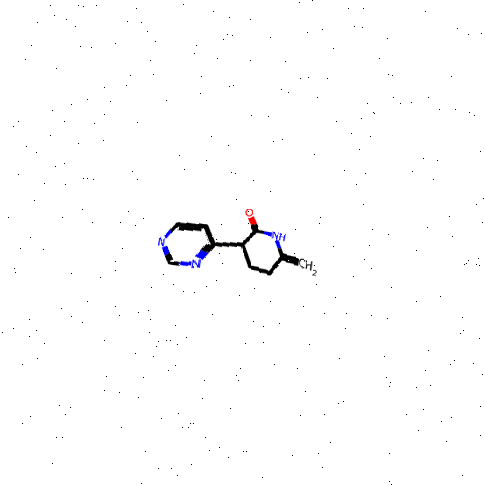 C=C1CCC(c2ccncn2)C(=O)N1